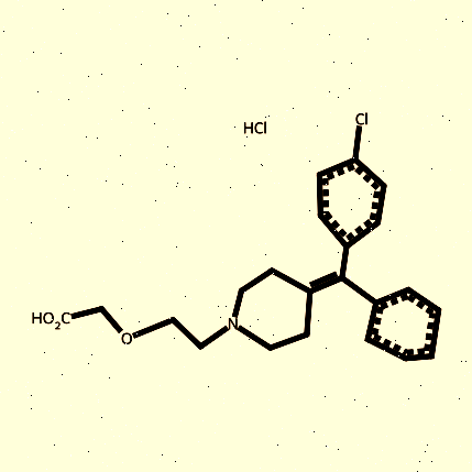 Cl.O=C(O)COCCN1CCC(=C(c2ccccc2)c2ccc(Cl)cc2)CC1